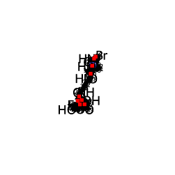 O=C1Nc2cc(Br)ccc2/C1=C(/Nc1ccc(C(=O)NCCCCCCNC(=O)c2ccc(-c3c4cc(F)c(=O)cc-4oc4cc(O)c(F)cc34)c(C(=O)O)c2)cc1)c1ccccc1